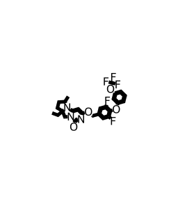 CCC12CCC(C)N1c1cc(OCc3cc(F)c(Oc4cccc(OC(F)(F)F)c4)c(F)c3)nc(=O)n1C2